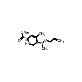 C=CCON(C)[C@H]1CN[C@H](C(=O)OC)C=C1C